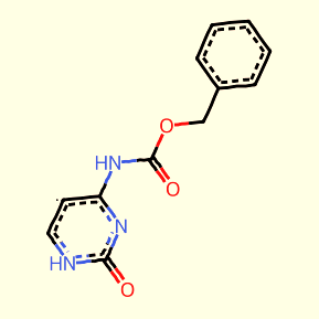 O=C(Nc1[c]c[nH]c(=O)n1)OCc1ccccc1